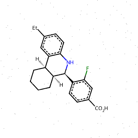 CCc1ccc2c(c1)[C@@H]1CCCC[C@@H]1[C@H](c1ccc(C(=O)O)cc1F)N2